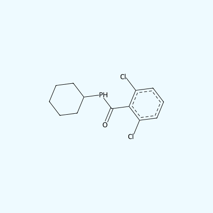 O=C(PC1CCCCC1)c1c(Cl)cccc1Cl